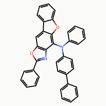 c1ccc(-c2ccc(N(c3ccccc3)c3c4nc(-c5ccccc5)oc4cc4c3oc3ccccc34)cc2)cc1